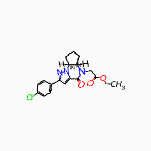 CCOC(=O)CN1C(=O)c2cc(-c3ccc(Cl)cc3)nn2[C@@H]2CCC[C@@H]21